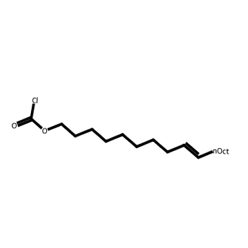 CCCCCCCC/C=C/CCCCCCCCOC(=O)Cl